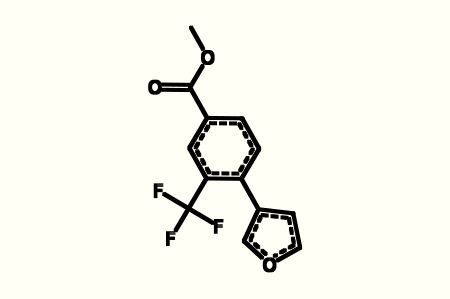 COC(=O)c1ccc(-c2ccoc2)c(C(F)(F)F)c1